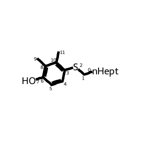 CCCCCCCCSc1ccc(O)c(C)c1C